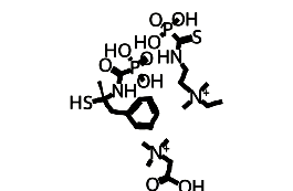 CC[N+](C)(C)CCNC(=S)P(=O)(O)O.C[C@](S)(Cc1ccccc1)NC(=O)P(=O)(O)O.C[N+](C)(C)CC(=O)O